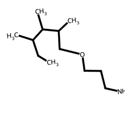 CCC(C)C(C)C(C)COCCCN